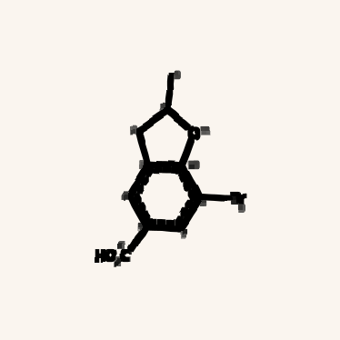 CC1Cc2cc(C(=O)O)cc(Br)c2O1